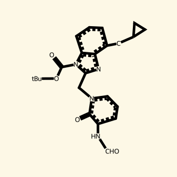 CC(C)(C)OC(=O)n1c(Cn2cccc(NC=O)c2=O)nc2c(CC3CC3)cccc21